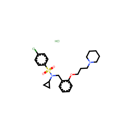 Cl.O=S(=O)(c1ccc(Cl)cc1)N(Cc1ccccc1OCCCN1CCCCC1)C1CC1